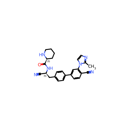 Cc1nccn1-c1cc(-c2ccc(C[C@@H](C#N)NC(=O)[C@@H]3CCCCN3)cc2)ccc1C#N